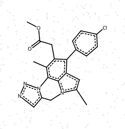 COC(=O)Cc1c(C)c2c3c(cc(C)n3Cc3cnnn3-2)c1-c1ccc(Cl)cc1